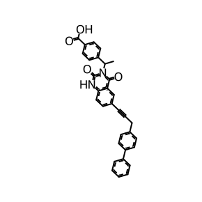 CC(c1ccc(C(=O)O)cc1)n1c(=O)[nH]c2ccc(C#CCc3ccc(-c4ccccc4)cc3)cc2c1=O